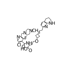 CN1CCN(Cc2ncc(Cl)c(C(=O)NC(CCOC3CC(CCc4ccc5c(n4)NCCC5)C3)C(=O)O)c2F)CC1